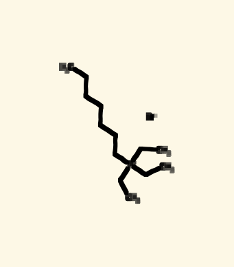 CCCCCCC[P+](CC)(CC)CC.[Br-]